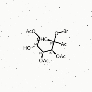 CC(=O)OC[C@@H](O)[C@H](OC(C)=O)[C@H](OC(C)=O)[C@](C=O)(OBr)C(C)=O